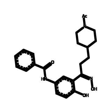 CC(=O)N1CCC(CCC(=NO)c2cc(NC(=O)c3ccccc3)ccc2O)CC1